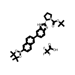 CC(C)(C)OC(=O)N1CCC[C@H]1c1nc2ccc(-c3ccc4cc(B5OC(C)(C)C(C)(C)O5)ccc4c3)cc2[nH]1.O=C(O)C(F)(F)F